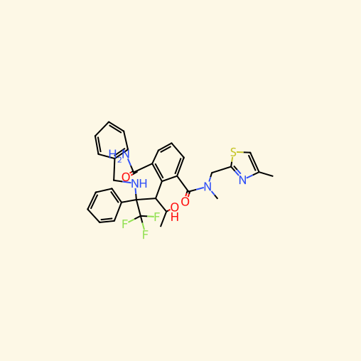 Cc1csc(CN(C)C(=O)c2cccc(C(N)=O)c2C(C(C)O)C(NCc2ccccc2)(c2ccccc2)C(F)(F)F)n1